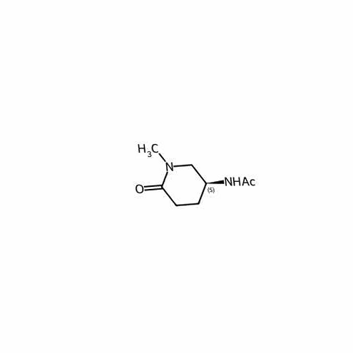 CC(=O)N[C@H]1CCC(=O)N(C)C1